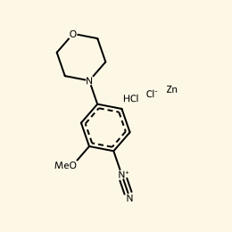 COc1cc(N2CCOCC2)ccc1[N+]#N.Cl.[Cl-].[Zn]